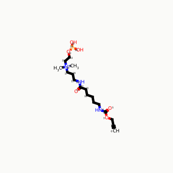 C#CCOC(=O)NCCCCCC(=O)NCCC[N+](C)(C)CCOP(O)O